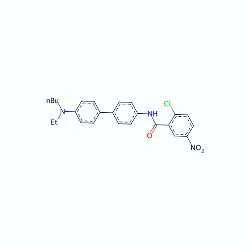 CCCCN(CC)c1ccc(-c2ccc(NC(=O)c3cc([N+](=O)[O-])ccc3Cl)cc2)cc1